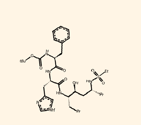 CCS(=O)(=O)N[C@@H](C[C@H](O)[C@H](CC(C)C)NC(=O)[C@H](Cc1c[nH]cn1)NC(=O)[C@H](Cc1ccccc1)NC(=O)OC(C)(C)C)C(C)C